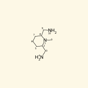 CN1C(CN)CCCC1CN